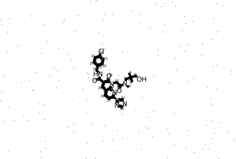 CN(CC(C)(C)CO)C(=O)Cn1c(=O)c(C(=O)NCc2ccc(Cl)cc2)cc2ccc(-n3cncn3)nc21